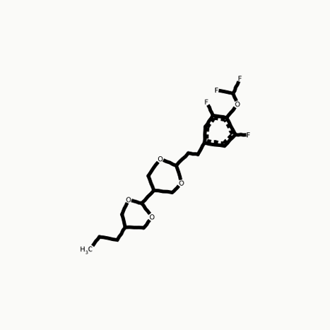 CCCC1COC(C2COC(CCc3cc(F)c(OC(F)F)c(F)c3)OC2)OC1